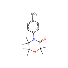 CC1(C)OC(C)(C)C(C)(C)N(c2ccc([N+](=O)[O-])cc2)C1=O